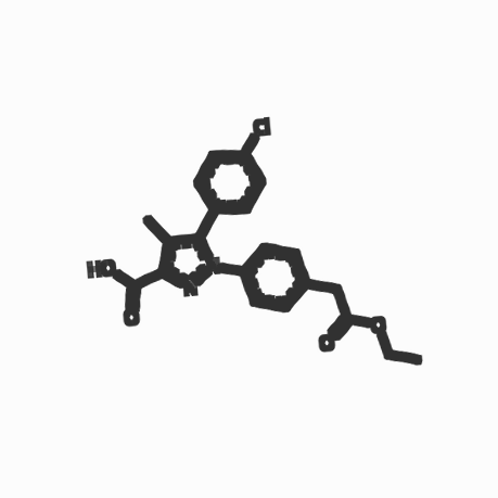 CCOC(=O)Cc1ccc(-n2nc(C(=O)O)c(C)c2-c2ccc(Cl)cc2)cc1